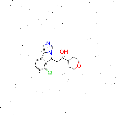 OC(CC1c2c(Cl)cccc2-c2cncn21)C1CCOCC1